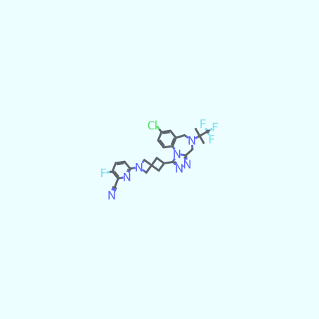 CC(C)(N1Cc2cc(Cl)ccc2-n2c(nnc2C2CC3(C2)CN(c2ccc(F)c(C#N)n2)C3)C1)C(F)(F)F